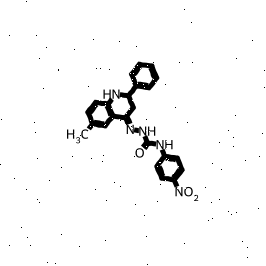 Cc1ccc2c(c1)C(=NNC(=O)Nc1ccc([N+](=O)[O-])cc1)CC(c1ccccc1)N2